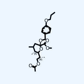 CCCOc1ccc(CO[C@]2(C(=O)OC)CC(C)[C@@H](C)C([C@H](C)COC(C)=O)O2)cc1